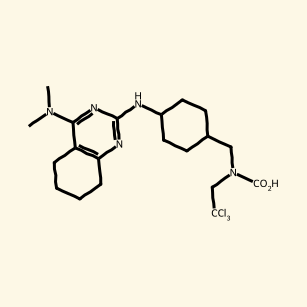 CN(C)c1nc(NC2CCC(CN(CC(Cl)(Cl)Cl)C(=O)O)CC2)nc2c1CCCC2